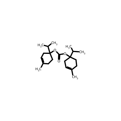 CC1=CCC(OC(=O)OC2(C(C)C)CC=C(C)CC2)(C(C)C)CC1